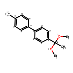 CCOC(C)(OCC)c1ccc(-c2ccc(C(F)(F)F)cc2)cc1